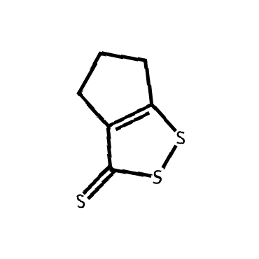 S=c1ssc2c1CCC2